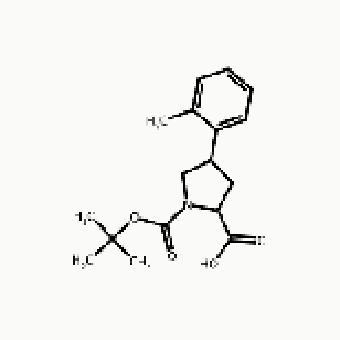 Cc1ccccc1C1CC(C(=O)O)N(C(=O)OC(C)(C)C)C1